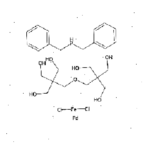 OCC(CO)(CO)COCC(CO)(CO)CO.[Cl][Fe][Cl].[Pd].c1ccc(CPCc2ccccc2)cc1